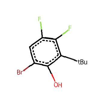 CC(C)(C)c1c(O)c(Br)cc(F)c1F